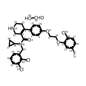 O=C(C1=C(c2ccc(OCCOc3cc(F)ccc3Cl)cc2)CCNC1)N(Cc1cccc(Cl)c1Cl)C1CC1.O=CO